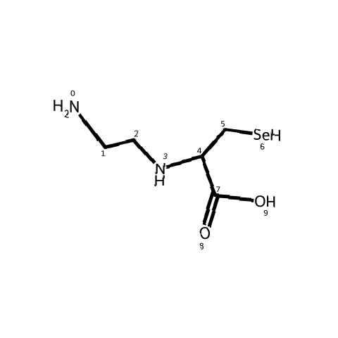 NCCNC(C[SeH])C(=O)O